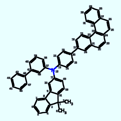 CC1(C)c2ccccc2-c2cc(N(c3ccc(-c4ccc5c(ccc6ccc7ccccc7c65)c4)cc3)c3cccc(-c4ccccc4)c3)ccc21